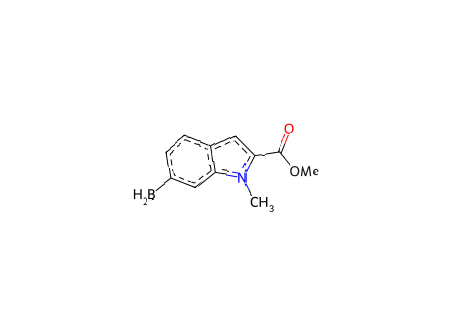 Bc1ccc2cc(C(=O)OC)n(C)c2c1